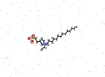 CCCCCCCCCCCCCC[N+](CC)(CC)CCCCS(=O)(=O)[O-]